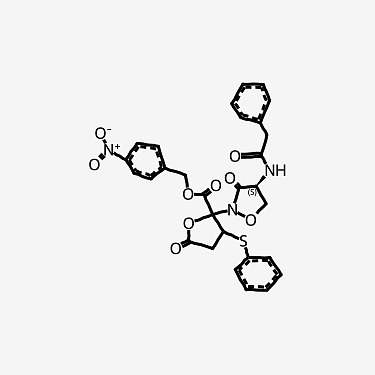 O=C(Cc1ccccc1)N[C@H]1CON(C2(C(=O)OCc3ccc([N+](=O)[O-])cc3)OC(=O)CC2Sc2ccccc2)C1=O